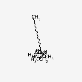 CCCCCCCCCCCCCCCCCC(=O)NC1(C(=O)OC)CC(C)(C)NC(C)(C)C1